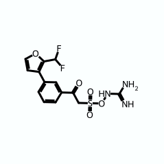 N=C(N)NOS(=O)(=O)CC(=O)c1cccc(-c2ccoc2C(F)F)c1